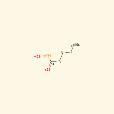 CCCCCCCC(=O)PO